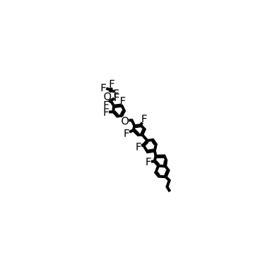 CCCc1ccc2c(F)c(-c3ccc(-c4cc(F)c(COc5cc(F)c(C(F)(F)OC(F)(F)F)c(F)c5)c(F)c4)c(F)c3)ccc2c1